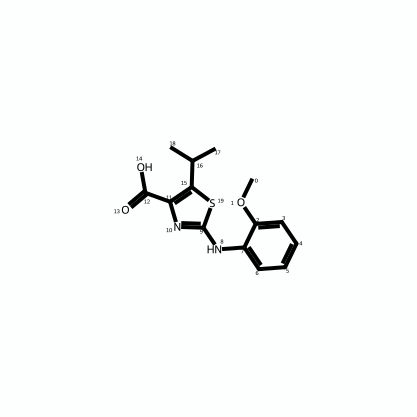 COc1ccccc1Nc1nc(C(=O)O)c(C(C)C)s1